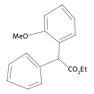 CCOC(=O)C(c1ccccc1)c1ccccc1OC